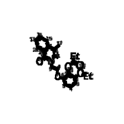 CCOc1cccc(OCCn2nc(C)c3ccccc3c2=O)c1OC(=O)CC